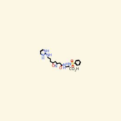 O=C(CC1=NOC(CCCNC2NC=CCN2)C1)NCC(NS(=O)(=O)c1ccccc1)C(=O)O